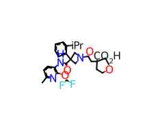 Cc1ccc(NC(=O)C2(c3ccccc3C(C)C)CN(C(=O)CC3(C(=O)O)CCOCC3)C2)c(OC(F)F)n1